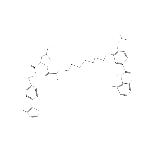 Cc1ncsc1-c1ccc(CNC(=O)C2CC(O)CN2C(=O)[C@@H](NCCCCCCCOc2cc(C(=O)Nc3c(Cl)cncc3Cl)ccc2OC(F)F)C(C)(C)C)cc1